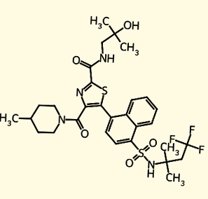 CC1CCN(C(=O)c2nc(C(=O)NCC(C)(C)O)sc2-c2ccc(S(=O)(=O)NC(C)(C)CC(F)(F)F)c3ccccc23)CC1